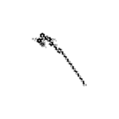 C#CCOCCOCCOCCOCCOCCOCCOCCOCCN1CCN(CCCN[C@H]2CCN(c3nc4cc([C@@H]5CCCCN5C(=O)c5cc(C)ccc5NS(C)(=O)=O)nn4cc3C)C2)CC1